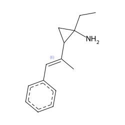 CCC1(N)CC1/C(C)=C/c1ccccc1